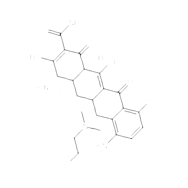 CN(CCO)C[C@@]12Cc3c(N)ccc(O)c3C(=O)C1=C(O)[C@]1(O)C(=O)C(C(N)=O)=C(O)[C@@H](N)[C@@H]1C2